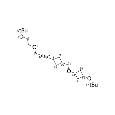 CC(C)(C)OCCOCC#CC1CC(COC2CC(OC(C)(C)C)C2)C1